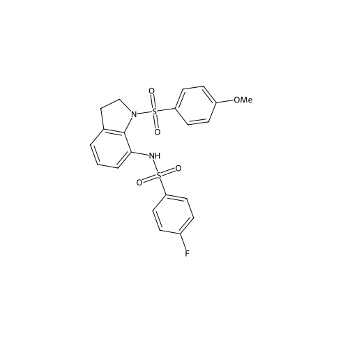 COc1ccc(S(=O)(=O)N2CCc3cccc(NS(=O)(=O)c4ccc(F)cc4)c32)cc1